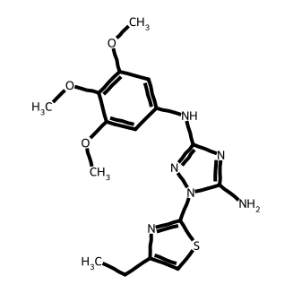 CCc1csc(-n2nc(Nc3cc(OC)c(OC)c(OC)c3)nc2N)n1